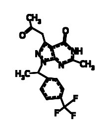 CC(=O)Cc1nn(C(C)c2ccc(C(F)(F)F)cc2)c2nc(C)[nH]c(=O)c12